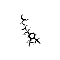 CCC(=O)NNC(C)S(=O)(=O)c1ccc(C(C)(C)C)[c]([Sn]([CH3])([CH3])[CH3])c1